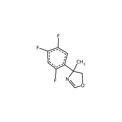 CC1(c2cc(F)c(F)cc2F)COC=N1